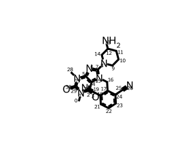 Cn1c(=O)c2c(nc(N3CCCC(N)C3)n2Cc2c(C#N)cccc2C#N)n(C)c1=O